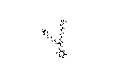 CCCCCCCCCCN(CCCCCCCC)CCc1ccccc1